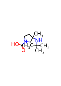 CC(C)(C)N[C@@]1(C)CCN(C(=O)O)C1